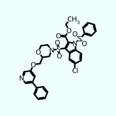 CCOC(=O)c1c(S(=O)(=O)N2CCOC(COc3cncc(-c4ccccc4)c3)C2)c2cc(Cl)ccc2n1S(=O)(=O)c1ccccc1